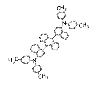 Cc1ccc(N(c2ccc(C)cc2)c2ccc(-c3c4ccccc4c(-c4ccc(N(c5ccc(C)cc5)c5ccc(C)cc5)c5ccccc45)c4ccccc34)c3ccccc23)cc1